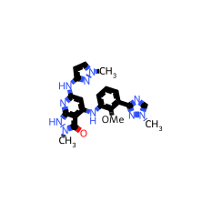 COc1c(Nc2cc(Nc3ccn(C)n3)nc3[nH]n(C)c(=O)c23)cccc1-c1ncn(C)n1